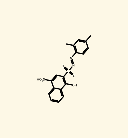 Cc1ccc(N=NS(=O)(=O)c2cc(S(=O)(=O)O)c3ccccc3c2O)c(C)c1